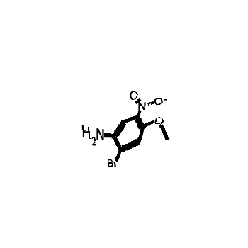 COc1cc(Br)c(N)cc1[N+](=O)[O-]